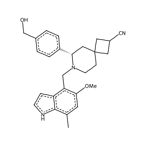 COc1cc(C)c2[nH]ccc2c1CN1CCC2(CC(C#N)C2)C[C@H]1c1ccc(CO)cc1